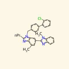 CCCc1nc2c(C)cc(-c3nc4ccccc4n3C)cc2n1Cc1ccc(-c2ccccc2Cl)cc1